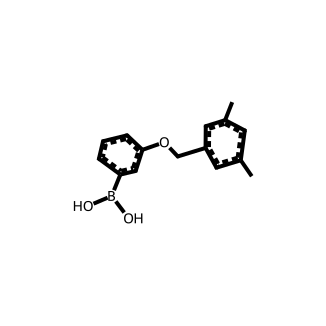 Cc1cc(C)cc(COc2cccc(B(O)O)c2)c1